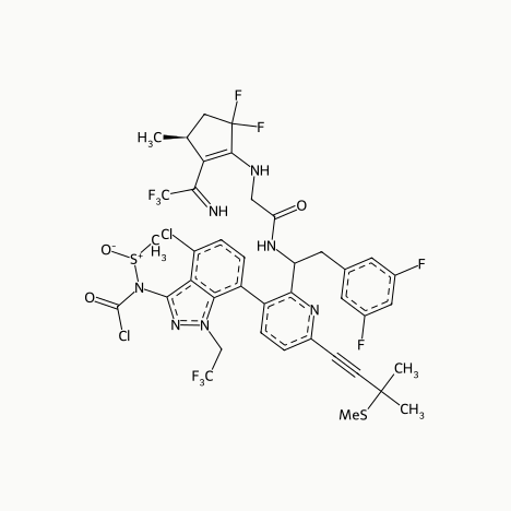 CSC(C)(C)C#Cc1ccc(-c2ccc(Cl)c3c(N(C(=O)Cl)[S+](C)[O-])nn(CC(F)(F)F)c23)c(C(Cc2cc(F)cc(F)c2)NC(=O)CNC2=C(C(=N)C(F)(F)F)[C@@H](C)CC2(F)F)n1